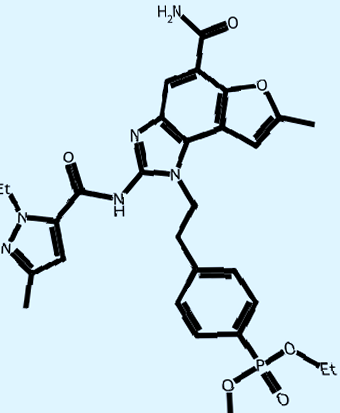 CCOP(=O)(OCC)c1ccc(CCn2c(NC(=O)c3cc(C)nn3CC)nc3cc(C(N)=O)c4oc(C)cc4c32)cc1